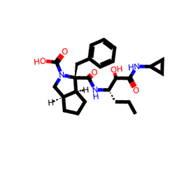 CCC[C@H](NC(=O)[C@]1(Cc2ccccc2)[C@H]2CCC[C@H]2CN1C(=O)O)C(O)C(=O)NC1CC1